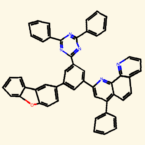 c1ccc(-c2nc(-c3ccccc3)nc(-c3cc(-c4ccc5oc6ccccc6c5c4)cc(-c4cc(-c5ccccc5)c5ccc6cccnc6c5n4)c3)n2)cc1